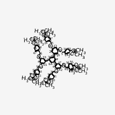 CC(C)(C)Oc1ccc(COc2cc(OCc3ccc(OC(C)(C)C)cc3)cc(-c3cc(-c4cc(OCc5ccc(OC(C)(C)C)cc5)cc(OCc5ccc(OC(C)(C)C)cc5)c4)cc(-c4cc(OCc5ccc(OC(C)(C)C)cc5)cc(OCc5ccc(OC(C)(C)C)cc5)c4)c3)c2)cc1